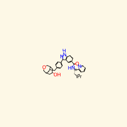 CC(C)C[C@H](NC(=O)c1ccc2[nH]nc(-c3ccc(CC4CC5COCC4CC(O)C5)cc3)c2c1)c1ccccn1